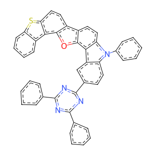 c1ccc(-c2nc(-c3ccccc3)nc(-c3ccc4c(c3)c3c5oc6c(ccc7sc8ccccc8c76)c5ccc3n4-c3ccccc3)n2)cc1